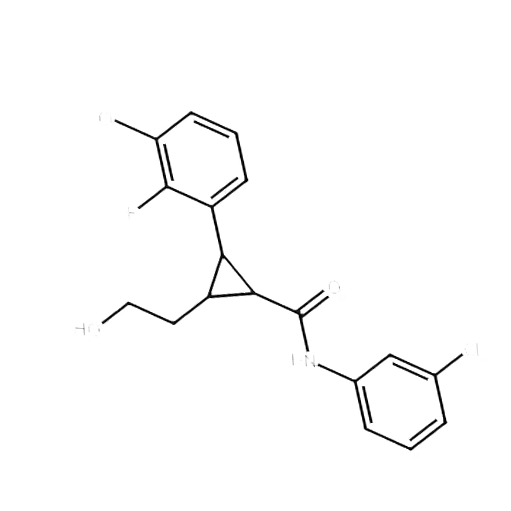 O=C(Nc1cccc(Cl)c1)C1C(CCO)C1c1cccc(Cl)c1F